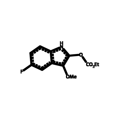 CCOC(=O)Oc1[nH]c2ccc(F)cc2c1OC